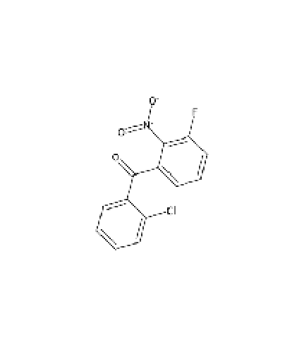 O=C(c1ccccc1Cl)c1cccc(F)c1[N+](=O)[O-]